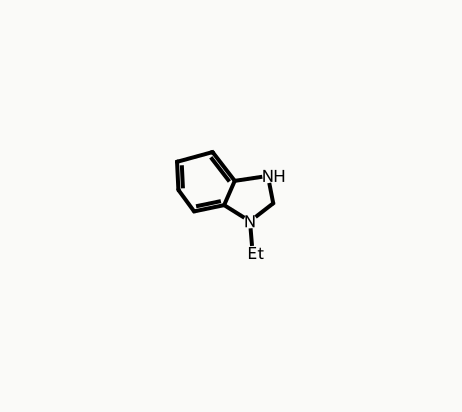 CCN1CNc2ccccc21